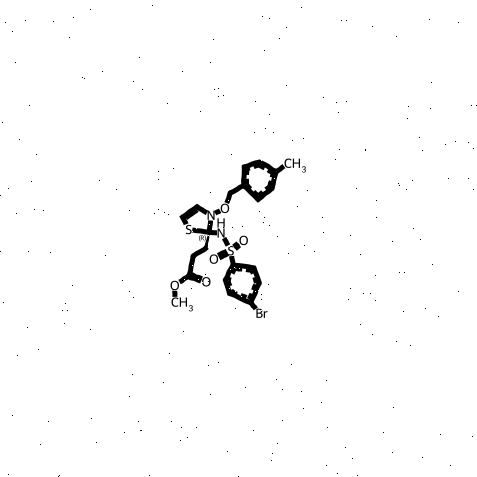 COC(=O)CC[C@@]1(NS(=O)(=O)c2ccc(Br)cc2)SC=CN1OCc1ccc(C)cc1